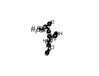 CC(C)(C)OC(=O)N1CCC(c2ccc(Cl)cc2)=C(CN2CCN(c3ccc(C(=O)NS(=O)(=O)c4cnc(OCC5(F)CCOCC5)c(Cl)c4)c(Oc4cc5cc[nH]c5cc4F)c3)CC2)C1